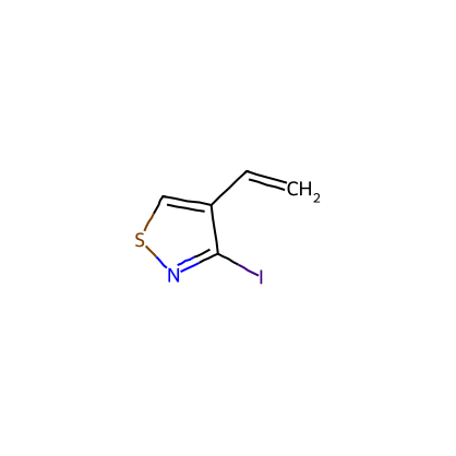 C=Cc1csnc1I